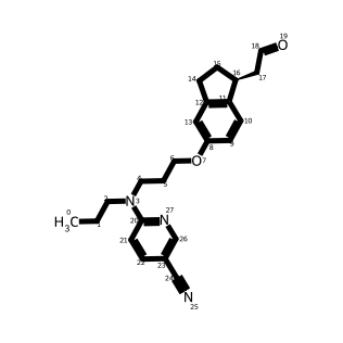 CCCN(CCCOc1ccc2c(c1)CC[C@H]2CC=O)c1ccc(C#N)cn1